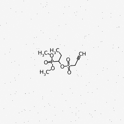 C#CCS(=O)(=O)OC(CC)P(=O)(OC)OC